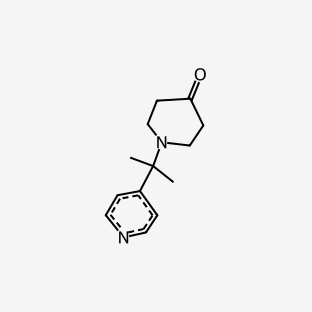 CC(C)(c1ccncc1)N1CCC(=O)CC1